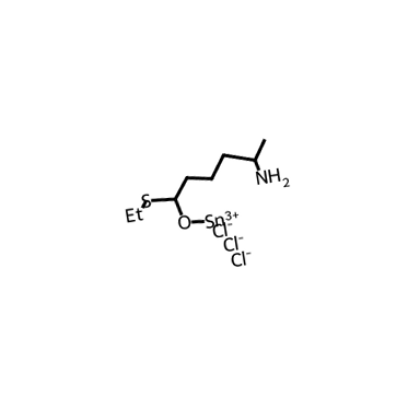 CCSC(CCCC(C)N)[O][Sn+3].[Cl-].[Cl-].[Cl-]